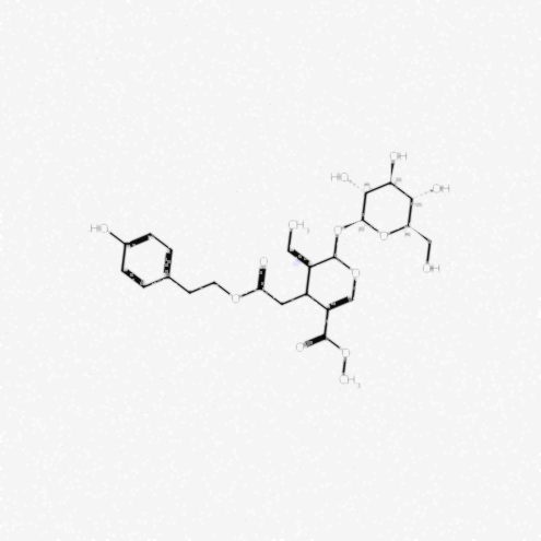 C/C=C1\C(O[C@@H]2O[C@H](CO)[C@@H](O)[C@H](O)[C@H]2O)OC=C(C(=O)OC)C1CC(=O)OCCc1ccc(O)cc1